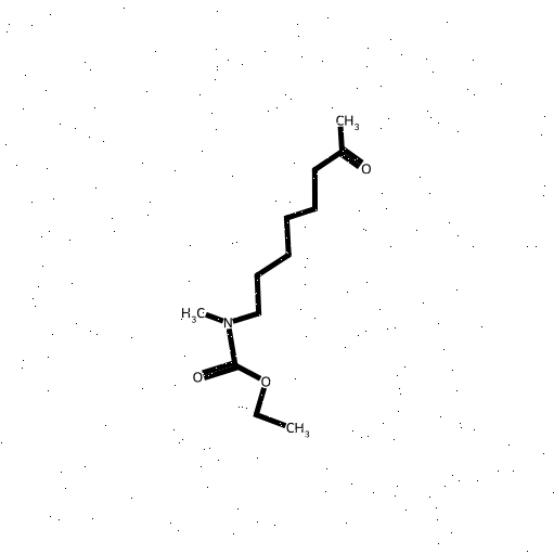 CCOC(=O)N(C)CCCCCCC(C)=O